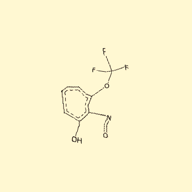 O=Nc1c(O)cccc1OC(F)(F)F